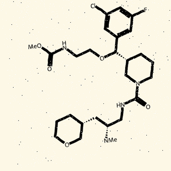 CN[C@@H](CNC(=O)N1CCC[C@@H](C(OCCNC(=O)OC)c2cc(F)cc(Cl)c2)C1)C[C@H]1CCCOC1